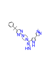 Cn1cc(-c2c[nH]c(/C(=N\C=N)N3CCN(c4ncc(C(C)(C)c5ccccc5)cn4)CC3)c2)cn1